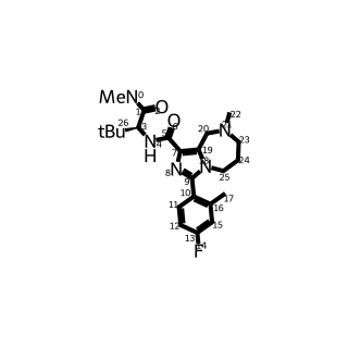 CNC(=O)[C@@H](NC(=O)c1nc(-c2ccc(F)cc2C)n2c1CN(C)CCC2)C(C)(C)C